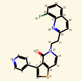 O=c1c2c(-c3ccncc3)csc2ccn1CCc1ccc2cccc(F)c2n1